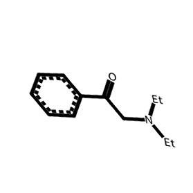 CCN(CC)CC(=O)c1ccccc1